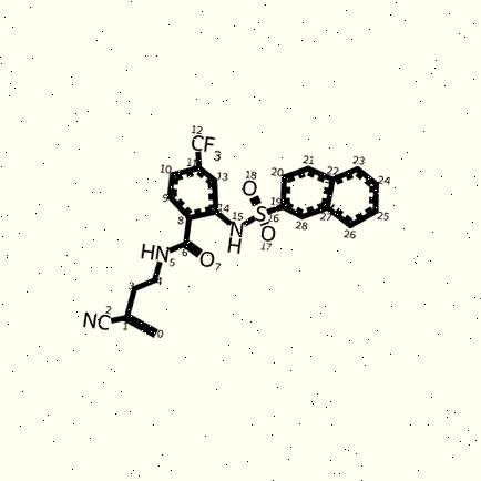 C=C(C#N)CCNC(=O)c1ccc(C(F)(F)F)cc1NS(=O)(=O)c1ccc2ccccc2c1